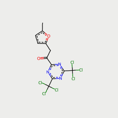 Cc1ccc(CC(=O)c2nc(C(Cl)(Cl)Cl)nc(C(Cl)(Cl)Cl)n2)o1